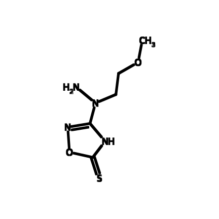 COCCN(N)c1noc(=S)[nH]1